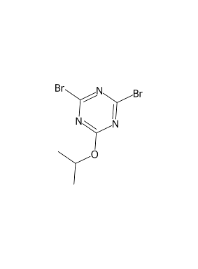 CC(C)Oc1nc(Br)nc(Br)n1